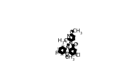 COc1ccc(N2CN(c3ccc(F)cc3OC)c3ccc(Cl)cc3C2=O)c(C)n1